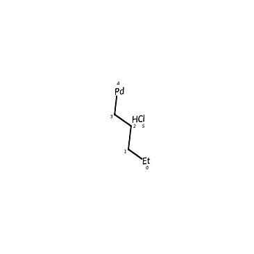 CCCC[CH2][Pd].Cl